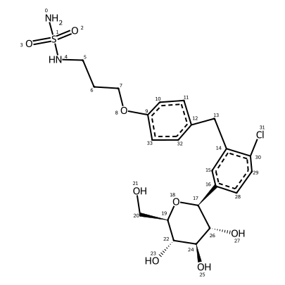 NS(=O)(=O)NCCCOc1ccc(Cc2cc([C@@H]3O[C@H](CO)[C@@H](O)[C@H](O)[C@H]3O)ccc2Cl)cc1